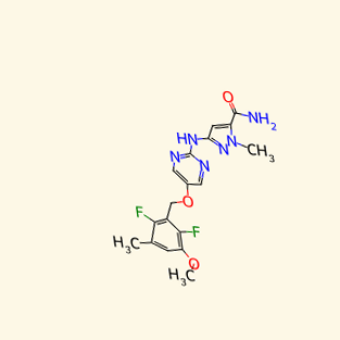 COc1cc(C)c(F)c(COc2cnc(Nc3cc(C(N)=O)n(C)n3)nc2)c1F